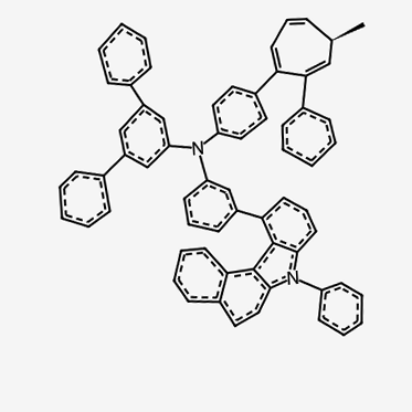 C[C@@H]1C=CC=C(c2ccc(N(c3cc(-c4ccccc4)cc(-c4ccccc4)c3)c3cccc(-c4cccc5c4c4c6ccccc6ccc4n5-c4ccccc4)c3)cc2)C(c2ccccc2)=C1